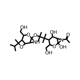 CC(=O)N1C2C(O)C(C(C)(C)C(C)(C)OC34NC3C3OC(C)(C(C)C)C3C(CO)O4)C(CO)OC21O